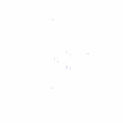 c1ccc(-c2nc(-c3ccc4ccccc4c3)nc(-c3ccc4c5c(cccc35)-c3ccccc3-4)n2)cc1